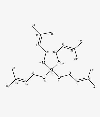 CC(C)=CCO[Si](OCC=C(C)C)(OCC=C(C)C)OCC=C(C)C